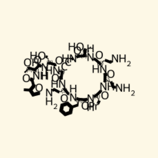 Cc1ccoc1C(=O)N[C@H](C(=O)N[C@H](CO)C(=O)N[C@H]1CCNC(=O)[C@H]([C@@H](C)O)NC(=O)[C@H](CCN)NC(=O)[C@H](CCN)NC(=O)[C@H](CC(C)C)NC(=O)[C@@H](Cc2ccccc2)NC(=O)[C@H](CCN)NC1=O)[C@@H](C)O